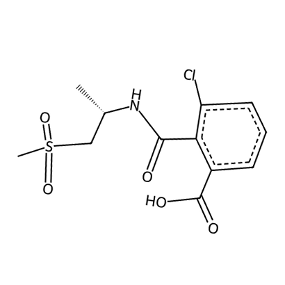 C[C@@H](CS(C)(=O)=O)NC(=O)c1c(Cl)cccc1C(=O)O